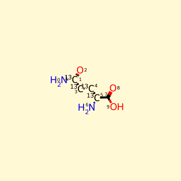 N[13C](=O)[13CH2][13CH2][13C@H](N)C(=O)O